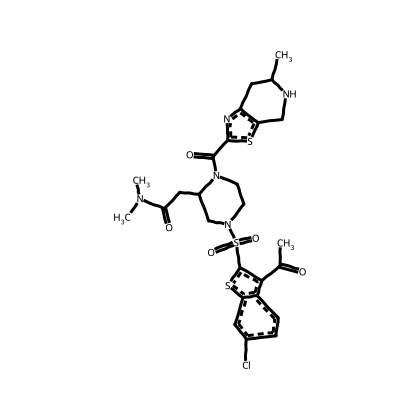 CC(=O)c1c(S(=O)(=O)N2CCN(C(=O)c3nc4c(s3)CNC(C)C4)C(CC(=O)N(C)C)C2)sc2cc(Cl)ccc12